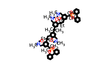 CCC(CC)(Cc1cc(C(C)(C)P2(=O)Oc3ccccc3-c3ccccc32)cc2c1OCN(C)C2)c1cc(C(C)(C)c2cc3c(c(CC(CC)(CC)c4cc(C(C)(C)P5(=O)Oc6ccccc6-c6ccccc65)cc5c4OCN(C)C5)c2)OCN(C)C3)cc2c1OCN(C)C2